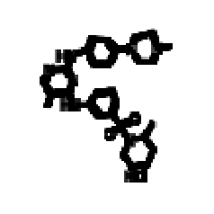 Cc1cnc(Nc2ccc(N3CCN(C)CC3)cc2)nc1Nc1cccc(S(=O)(=O)N2CCCCC2C)c1.Cl